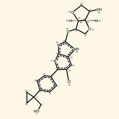 OCC1(c2ccc(-c3nc4nc(OC5CO[C@@H]6C(O)CO[C@H]56)[nH]c4cc3Cl)cc2)CC1